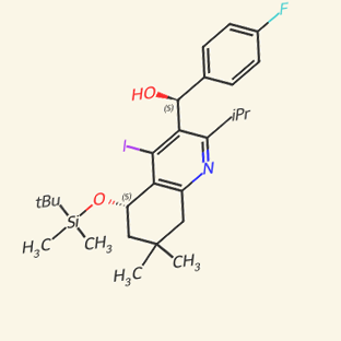 CC(C)c1nc2c(c(I)c1[C@@H](O)c1ccc(F)cc1)[C@@H](O[Si](C)(C)C(C)(C)C)CC(C)(C)C2